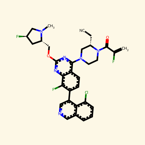 C=C(F)C(=O)N1CCN(c2nc(OC[C@@H]3C[C@@H](F)CN3C)nc3c(F)c(-c4cncc5cccc(Cl)c45)ccc23)C[C@@H]1CC#N